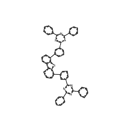 c1ccc(-c2nc(-c3ccccc3)nc(-c3cccc(-c4cccc5c4sc4c(-c6cccc(-c7nc(-c8ccccc8)nc(-c8ccccc8)n7)c6)cccc45)c3)n2)cc1